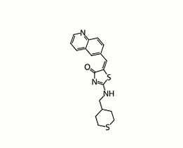 O=C1N=C(NCC2CCSCC2)SC1=Cc1ccc2ncccc2c1